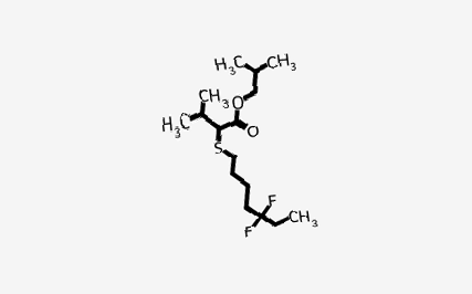 CCC(F)(F)CCCCSC(C(=O)OCC(C)C)C(C)C